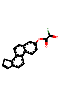 O=C(Cl)C(=O)Oc1ccc2c(ccc3c4c(ccc32)C=CC4)c1